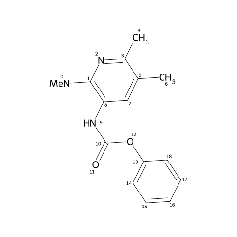 CNc1nc(C)c(C)cc1NC(=O)Oc1ccccc1